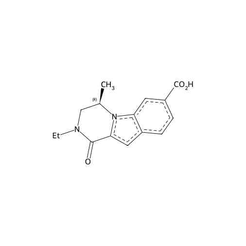 CCN1C[C@@H](C)n2c(cc3ccc(C(=O)O)cc32)C1=O